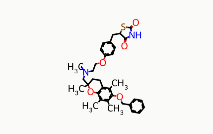 Cc1c(C)c2c(c(C)c1OCc1ccccc1)CCC(C)(CN(C)CCOc1ccc(CC3SC(=O)NC3=O)cc1)O2